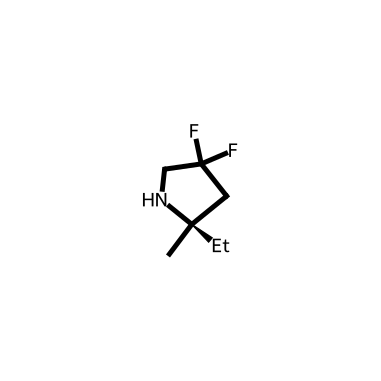 CC[C@]1(C)CC(F)(F)CN1